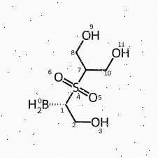 B[C@@H](CO)S(=O)(=O)C(CO)CO